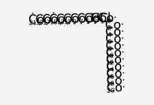 Cl.[Co].[Co].[Co].[Co].[Co].[Co].[Co].[Co].[Co].[Co].[Co].[Co].[Co].[Co].[Co].[Co].[Co].[Co].[Co].[Co].[Co]